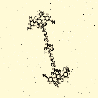 Cc1c(-c2ccnn2-c2ccc(C#N)cc2)cc(C(=O)NCCOCCOCCNC(=O)C(=O)NCCOCCOCCNC(=O)c2cc(-c3ccnn3-c3ccc(C#N)cc3)c(C)n(-c3cccc(C(F)(F)F)c3)c2=O)c(=O)n1-c1cccc(CF)c1